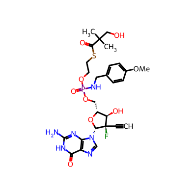 C#C[C@@]1(F)[C@H](O)[C@@H](COP(=O)(NCc2ccc(OC)cc2)OCCSC(=O)C(C)(C)CO)O[C@H]1n1cnc2c(=O)[nH]c(N)nc21